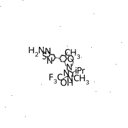 Cc1cc(-c2cnc3sc(N)nc3c2)cc2c1OCCN(c1nc(C(O)C(F)(F)F)nc(C)c1C(C)C)C2